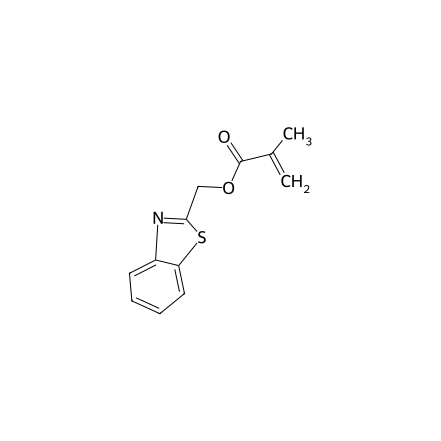 C=C(C)C(=O)OCc1nc2ccccc2s1